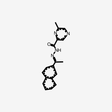 CC(=NNC(=O)c1cncc(C)n1)c1ccc2ccccc2c1